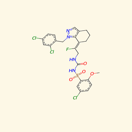 COc1ccc(Cl)cc1S(=O)(=O)NC(=O)NCC(F)=C1CCCc2cnn(Cc3ccc(Cl)cc3Cl)c21